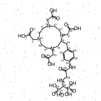 O=C(O)CN1CCN(CC(=O)O)CCN(CC(=O)O)C(Cc2ccc(NC(=O)CNC(P(=O)(O)O)P(=O)(O)O)cc2)CN(CC(=O)O)CC1